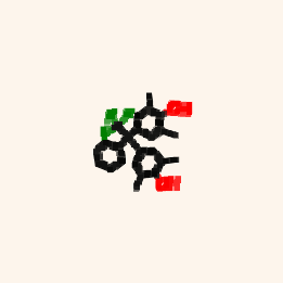 Cc1cc(C(c2ccccc2)(c2cc(C)c(O)c(C)c2)C(F)(F)F)cc(C)c1O